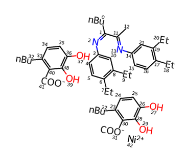 CCCCC(=Nc1ccc(CC)c(CC)c1)C(C)=Nc1ccc(CC)c(CC)c1.CCCCc1ccc(O)c(O)c1C(=O)[O-].CCCCc1ccc(O)c(O)c1C(=O)[O-].[Ni+2]